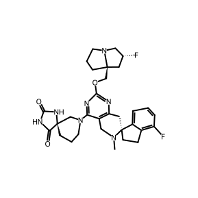 CN1Cc2c(nc(OC[C@@]34CCCN3C[C@H](F)C4)nc2N2CCC[C@]3(C2)NC(=O)NC3=O)C[C@]12CCc1c(F)cccc12